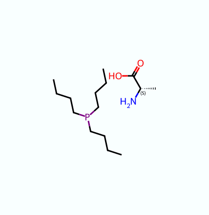 CCCCP(CCCC)CCCC.C[C@H](N)C(=O)O